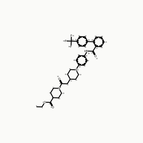 CCOC(=O)C1CCN(C(=O)CC2CCN(c3ccc(NC(=O)c4ccccc4-c4ccc(C(F)(F)F)cc4)cc3)CC2)CC1